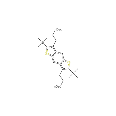 CCCCCCCCCCCCc1c([Si](C)(C)C)sc2cc3c(CCCCCCCCCCCC)c([Si](C)(C)C)sc3cc12